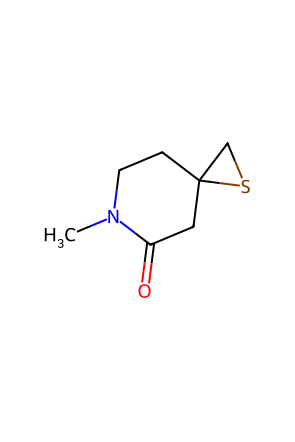 CN1CCC2(CS2)CC1=O